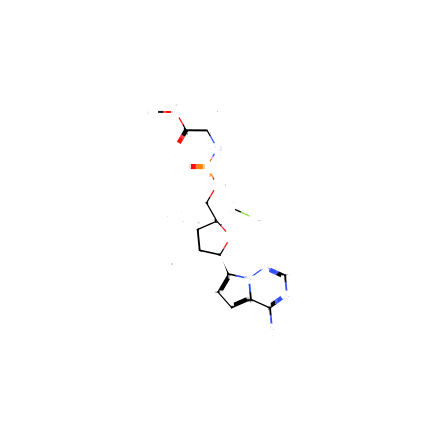 CC(=O)O[C@H]1[C@H](c2ccc3c(N)ncnn23)O[C@](CF)(CO[PH](=O)N[C@@H](C)C(=O)OC(C)C)[C@H]1OC(C)=O